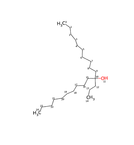 CCCCCCCCCCC(O)(CCC)CCCCCCCCCC